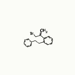 C=C(CBr)c1ccccc1CCc1ccccc1